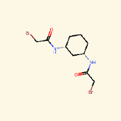 O=C(CBr)N[C@@H]1CCC[C@H](NC(=O)CBr)C1